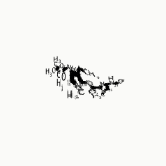 CCc1c(NC(=O)OC(C)(C)C)cn(C)c1OC(=O)c1nc(NC=O)cn1C